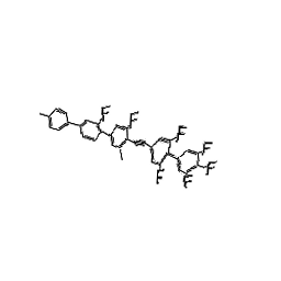 Cc1ccc(-c2ccc(-c3cc(C)c(C#Cc4cc(F)c(-c5cc(F)c(F)c(F)c5)c(F)c4)c(F)c3)c(F)c2)cc1